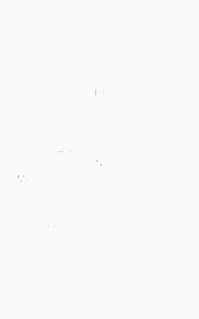 COC(=O)C1Cc2cccc(c2)C2(SC=CS2)N1C.I